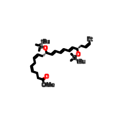 CC/C=C\C[C@@H](/C=C/C=C/C=C/[C@H](C/C=C\C/C=C\CCC(=O)OC)O[Si](C)(C)C(C)(C)C)O[Si](C)(C)C(C)(C)C